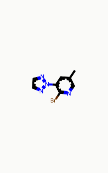 Cc1cnc(Br)c(-n2nccn2)c1